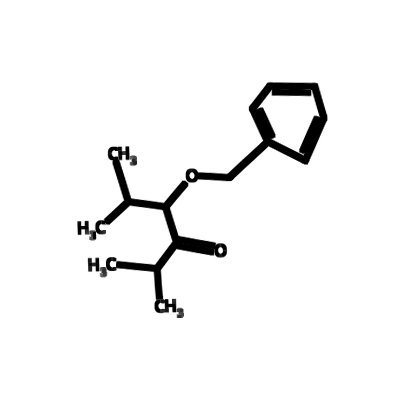 CC(C)C(=O)C(OCc1ccccc1)C(C)C